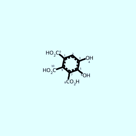 O=C(O)c1cc(O)c(O)c(C(=O)O)c1C(=O)O